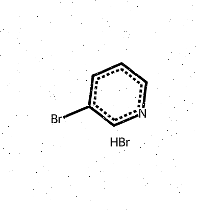 Br.Brc1cccnc1